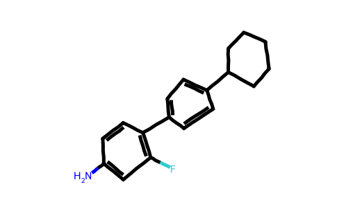 Nc1ccc(-c2ccc(C3CCCCC3)cc2)c(F)c1